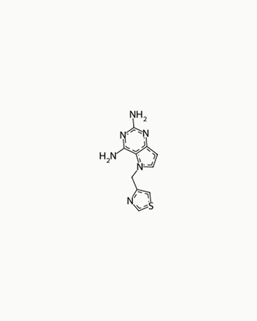 Nc1nc(N)c2c(ccn2Cc2cscn2)n1